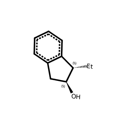 CC[C@H]1c2ccccc2C[C@@H]1O